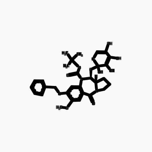 COc1cc2c(cc1OCc1ccccc1)N(C(=O)OC(C)(C)C)[C@@H](OC1(O)OC=C(O)C(O)=C1O)[C@@H]1CCCN1C2=O